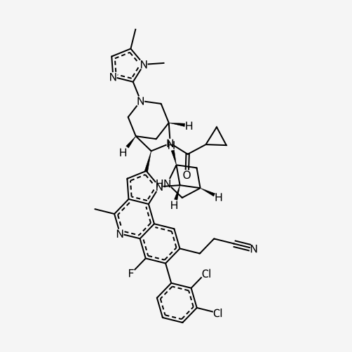 Cc1nc2c(F)c(-c3cccc(Cl)c3Cl)c(CCC#N)cc2c2c1cc([C@H]1[C@H]3C[C@H](CN(c4ncc(C)n4C)C3)N1C(=O)C1CC1)n2[C@H]1[C@H]2CN[C@@H]1C2